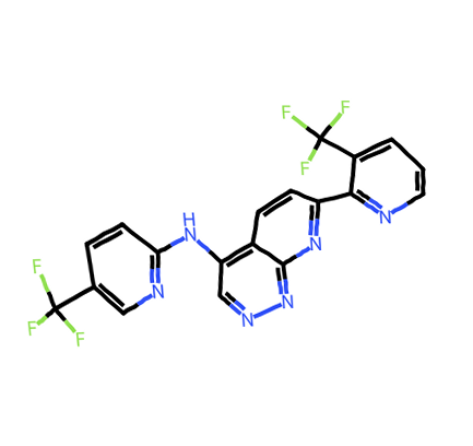 FC(F)(F)c1ccc(Nc2cnnc3nc(-c4ncccc4C(F)(F)F)ccc23)nc1